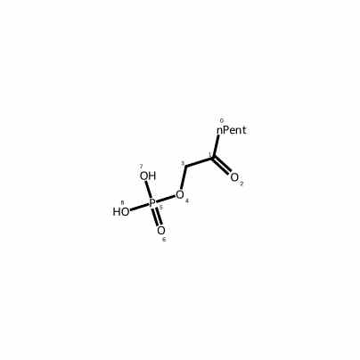 CCCCCC(=O)COP(=O)(O)O